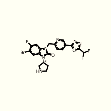 O=c1n(Cc2ccc(-c3nnc(C(F)F)o3)cn2)c2cc(F)c(Br)cc2n1[C@@H]1CCNC1